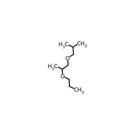 C[CH]COC(C)COCC(C)C